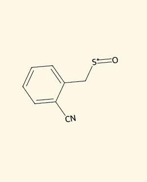 N#Cc1ccccc1C[S+]=O